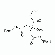 CCCC(C)OC(=O)CC(CC(=O)OC(C)CCC)(OC(C)=O)C(=O)OC(C)CCC